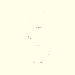 c1cccc(Nc2ccccc2)c#1